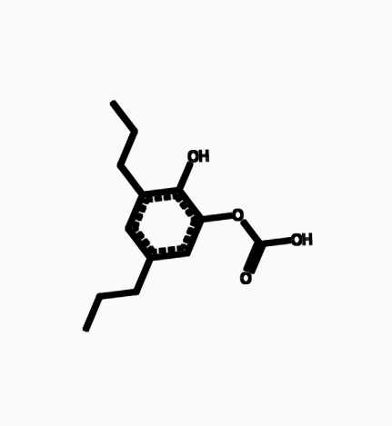 CCCc1cc(CCC)c(O)c(OC(=O)O)c1